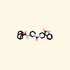 O=C(N1CCC2(CC1)C(=O)NC1C=CC=CC12)N1CCC[C@H](NC(=O)C23CC4CC(C2)C(O)C(C4)C3)C1